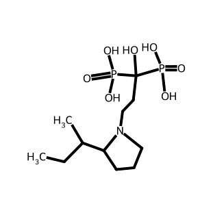 CCC(C)C1CCCN1CCC(O)(P(=O)(O)O)P(=O)(O)O